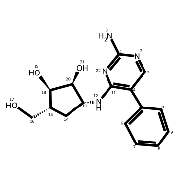 Nc1ncc(-c2ccccc2)c(N[C@@H]2C[C@H](CO)[C@@H](O)[C@H]2O)n1